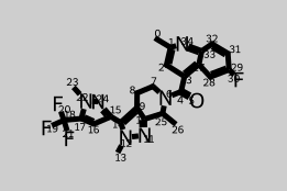 Cc1cc(C(=O)N2CCc3c(nn(C)c3-c3cc(C(F)(F)F)n(C)n3)C2C)c2cc(F)ccc2n1